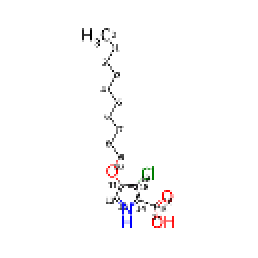 CCCCCCCCCCOc1c[nH]c(C(=O)O)c1Cl